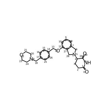 O=C1CCC(N2Cc3cccc(OCc4ccc(CN5CCOCC5)cc4)c3C2)C(=O)N1